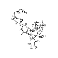 CCn1ccc(-c2ccc3nc(C(O)(c4ccccc4)c4ccccc4)n(CC)c3c2)n1